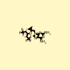 Nc1nc(N)c2ncn(CC3(O[C](CC(F)(F)F)CC(F)(F)F)CC3)c2n1